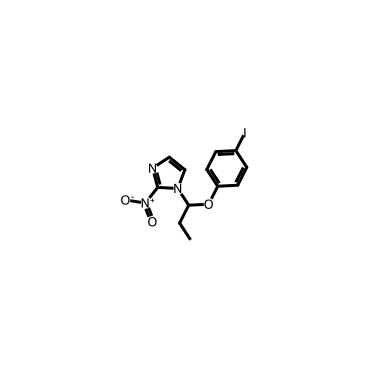 CCC(Oc1ccc(I)cc1)n1ccnc1[N+](=O)[O-]